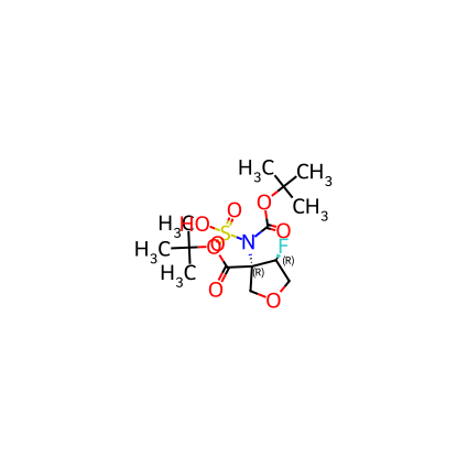 CC(C)(C)OC(=O)N([C@@]1(C(=O)OC(C)(C)C)COC[C@@H]1F)S(=O)(=O)O